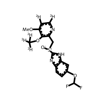 [2H]c1nc(C[S+]([O-])c2nc3ccc(OC(F)F)cc3[nH]2)c(OC([2H])([2H])[2H])c(OC)c1[2H]